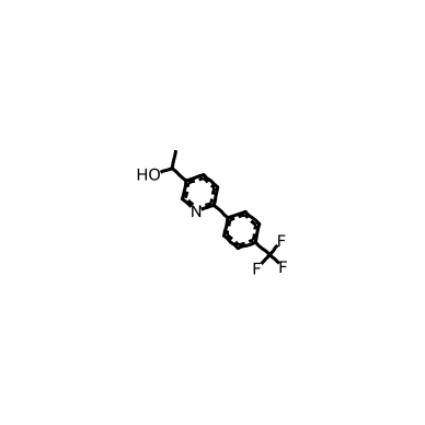 CC(O)c1ccc(-c2ccc(C(F)(F)F)cc2)nc1